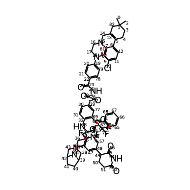 CC1(C)CCC(c2ccc(Cl)cc2)=C(CN2CCN(c3ccc(C(=O)NS(=O)(=O)c4ccc(N[C@H](CCN5CC6CCC(C5)N6Cc5cc(C6CCC(=O)NC6=O)cnc5F)CSc5ccccc5)c(S(=O)(=O)C(F)(F)F)c4)cc3)CC2)C1